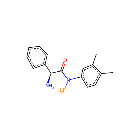 Cc1ccc(N(P)C(=O)[C@@H](N)c2ccccc2)cc1C